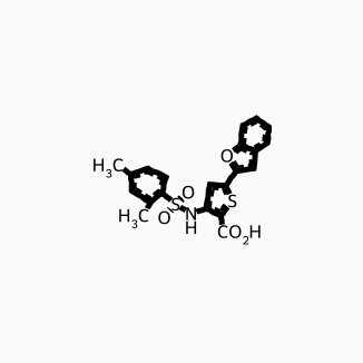 Cc1ccc(S(=O)(=O)Nc2cc(-c3cc4ccccc4o3)sc2C(=O)O)c(C)c1